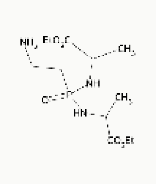 CCOC(=O)C(C)NP(=O)(CCN)NC(C)C(=O)OCC